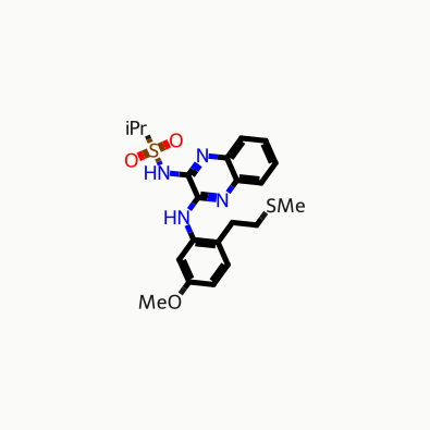 COc1ccc(CCSC)c(Nc2nc3ccccc3nc2NS(=O)(=O)C(C)C)c1